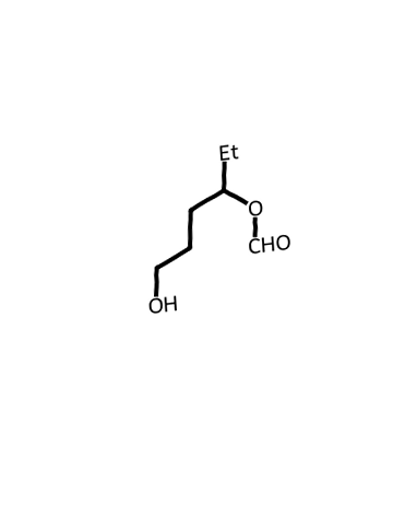 [CH2]CC(CCCO)OC=O